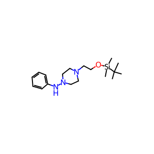 CC(C)(C)[Si](C)(C)OCCN1CCN(Nc2ccccc2)CC1